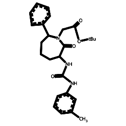 Cc1cccc(NC(=O)NC2CCCC(c3ccccc3)N(CC(=O)OC(C)(C)C)C2=O)c1